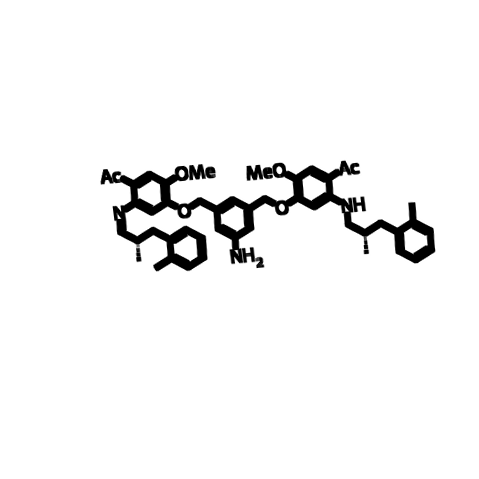 COc1cc(C(C)=O)c(/N=C\[C@@H](C)Cc2ccccc2C)cc1OCc1cc(N)cc(COc2cc(NC[C@@H](C)Cc3ccccc3C)c(C(C)=O)cc2OC)c1